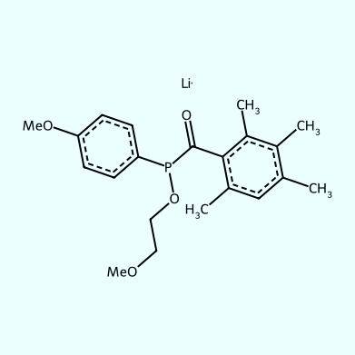 COCCOP(C(=O)c1c(C)cc(C)c(C)c1C)c1ccc(OC)cc1.[Li]